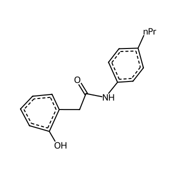 CCCc1ccc(NC(=O)Cc2ccccc2O)cc1